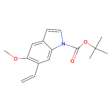 C=Cc1cc2c(ccn2C(=O)OC(C)(C)C)cc1OC